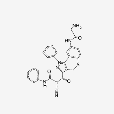 N#CC(C(=O)Nc1ccccc1)C(=O)c1nn(-c2ccccc2)c2c1CSc1ccc(NC(=O)CN)cc1-2